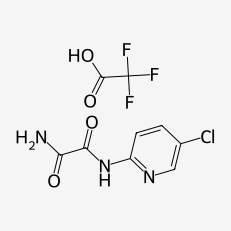 NC(=O)C(=O)Nc1ccc(Cl)cn1.O=C(O)C(F)(F)F